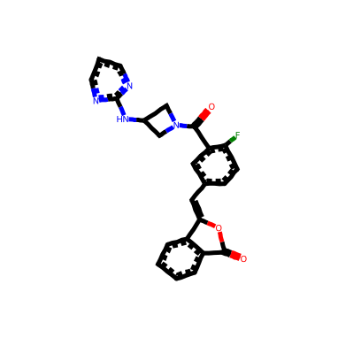 O=C1OC(=Cc2ccc(F)c(C(=O)N3CC(Nc4ncccn4)C3)c2)c2ccccc21